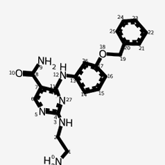 NCCNc1ncc(C(N)=O)c(Nc2cccc(OCc3ccccc3)c2)n1